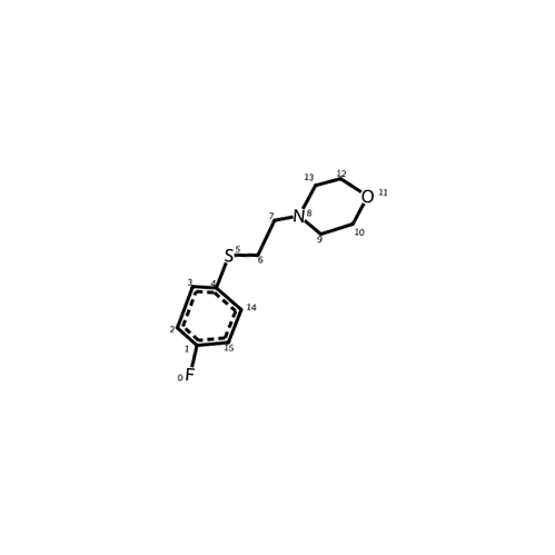 Fc1ccc(SCCN2CCOCC2)cc1